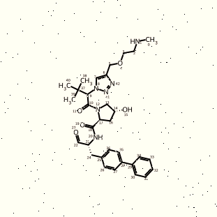 CNCCOCc1cn(C(C(=O)N2C[C@H](O)C[C@H]2C(=O)N[C@@H](C=O)Cc2ccc(-c3ccccc3)cc2)C(C)(C)C)nn1